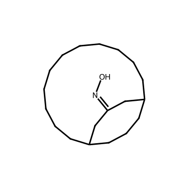 ON=C1CC2CCCCCCCCCCCC(CCC2)C1